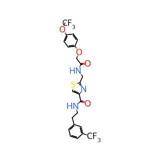 O=C(COc1ccc(OC(F)(F)F)cc1)NCc1nc(C(=O)NCCc2cccc(C(F)(F)F)c2)cs1